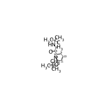 CC(C)(C)NCC(=O)c1cccc(OC(C)(C)C)n1